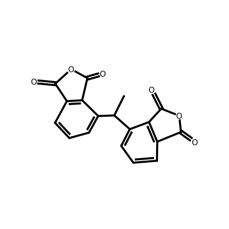 CC(c1cccc2c1C(=O)OC2=O)c1cccc2c1C(=O)OC2=O